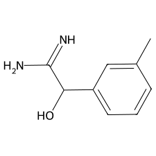 Cc1cccc(C(O)C(=N)N)c1